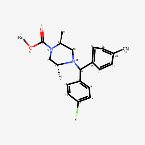 CC[C@@H]1CN(C(=O)OC(C)(C)C)[C@@H](C)CN1C(c1ccc(F)cc1)c1ccc(C#N)cc1